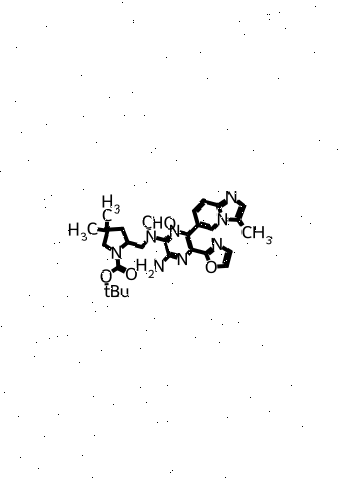 Cc1cnc2ccc(-c3nc(N(C=O)CC4CC(C)(C)CN4C(=O)OC(C)(C)C)c(N)nc3-c3ncco3)cn12